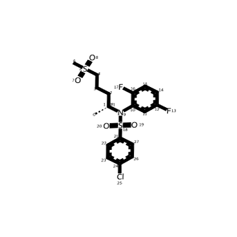 C[C@H](CCCS(C)(=O)=O)N(c1cc(F)ccc1F)S(=O)(=O)c1ccc(Cl)cc1